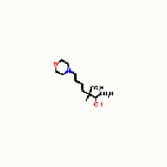 CC(CCCCN1CCOCC1)(C(=O)O)C(O)C(=O)O